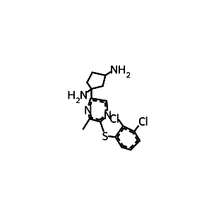 Cc1nc(C2(N)CCC(N)C2)cnc1Sc1cccc(Cl)c1Cl